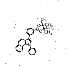 CC1(C)OB(c2cccc(-c3cn(-c4ccccc4)c4c3ccc3ccccc34)c2)OC1(C)C